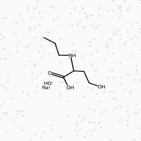 CCCNC(CCO)C(=O)O.[Na+].[OH-]